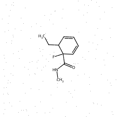 CCC1C=CC=CC1(F)C(=O)NC